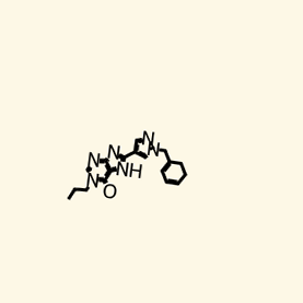 CCCn1cnc2nc(-c3cnn(CC4=CC=CCC4)c3)[nH]c2c1=O